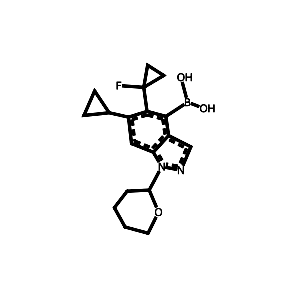 OB(O)c1c(C2(F)CC2)c(C2CC2)cc2c1cnn2C1CCCCO1